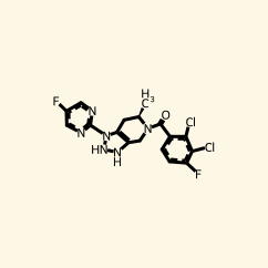 C[C@@H]1CC2=C(CN1C(=O)c1ccc(F)c(Cl)c1Cl)NNN2c1ncc(F)cn1